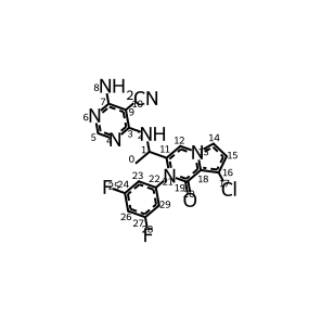 CC(Nc1ncnc(N)c1C#N)c1cn2ccc(Cl)c2c(=O)n1-c1cc(F)cc(F)c1